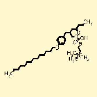 CCCCCCCCCCCCCCOc1ccc(CC(COP(=O)(O)OCC[N+](C)(C)C)CC(=O)CCC)cc1